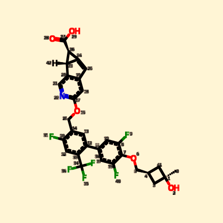 C[C@]1(O)C[C@@H](COc2c(F)cc(-c3cc(COc4cc5c(cn4)[C@H]4C(=C5)[C@@H]4C(=O)O)c(F)cc3C(F)(F)F)cc2F)C1